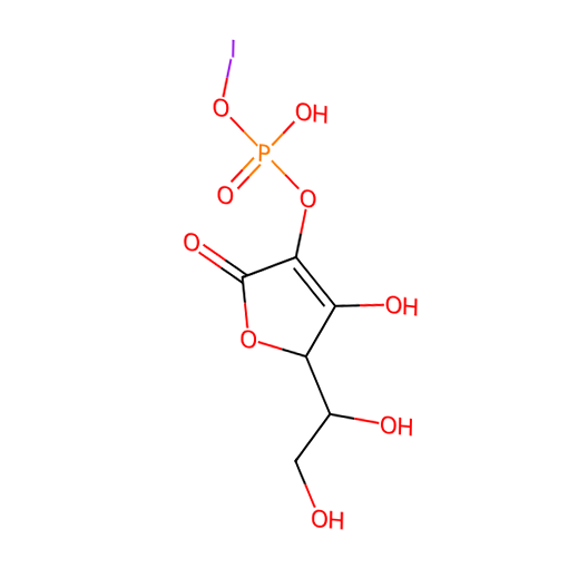 O=C1OC(C(O)CO)C(O)=C1OP(=O)(O)OI